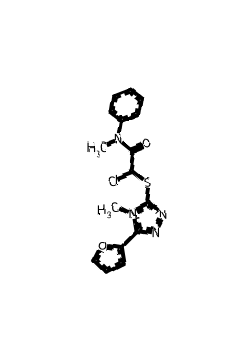 CN(C(=O)C(Cl)Sc1nnc(-c2ccco2)n1C)c1ccccc1